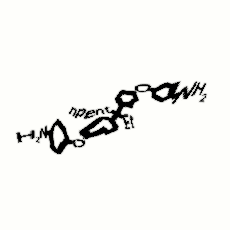 CCCCCC(CC)(c1ccc(Oc2ccc(N)cc2)cc1)c1ccc(Oc2ccc(N)cc2)cc1